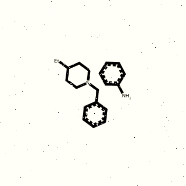 CCC1CCN(Cc2ccccc2)CC1.Nc1ccccc1